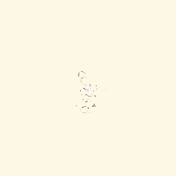 CCSc1ccc(CN/C(C=O)=N/c2ncc(-c3c(OC)ncnc3C3CC3)nc2N(C)C(CC)CC)nc1